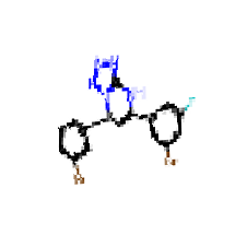 Fc1cc(Br)cc(C2=CC(c3cccc(Br)c3)n3nnnc3N2)c1